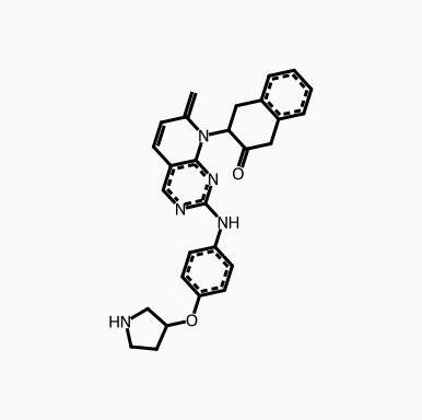 C=C1C=Cc2cnc(Nc3ccc(OC4CCNC4)cc3)nc2N1C1Cc2ccccc2CC1=O